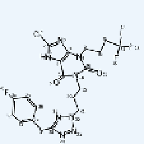 O=c1c2[nH]c(Cl)nc2n(CCCC(F)(F)F)c(=O)n1CCCn1nnc(Cc2ccc(F)cc2)n1